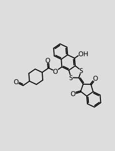 O=CC1CCC(C(=O)Oc2c3c(c(O)c4ccccc24)SC(=C2C(=O)c4ccccc4C2=O)S3)CC1